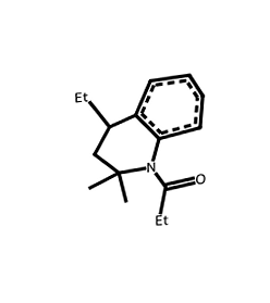 CCC(=O)N1c2ccccc2C(CC)CC1(C)C